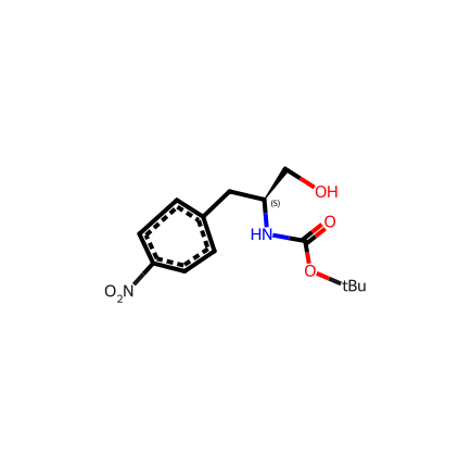 CC(C)(C)OC(=O)N[C@H](CO)Cc1ccc([N+](=O)[O-])cc1